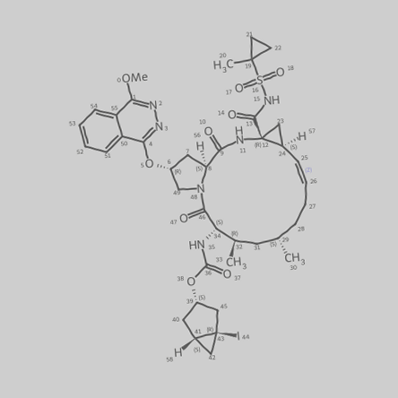 COc1nnc(O[C@@H]2C[C@H]3C(=O)N[C@]4(C(=O)NS(=O)(=O)C5(C)CC5)C[C@H]4/C=C\CC[C@H](C)C[C@@H](C)[C@H](NC(=O)O[C@H]4C[C@H]5C[C@@]5(I)C4)C(=O)N3C2)c2ccccc12